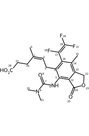 CC(=CCc1c(NC(=O)N(C)C)c2c(c(C)c1C(F)=C(F)F)COC2=O)CCC(=O)O